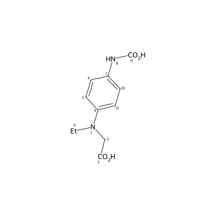 CCN(CC(=O)O)c1ccc(NC(=O)O)cc1